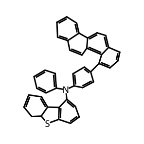 C1=CCC2Sc3cccc(N(c4ccccc4)c4ccc(-c5cccc6ccc7c8ccccc8ccc7c56)cc4)c3C2=C1